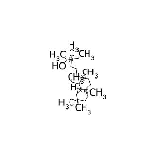 CCC1[C@@H]2CC(C)(C)CC[C@]2(C)CC[C@]1(C)CCC[C@](C)(CC)C(C)O